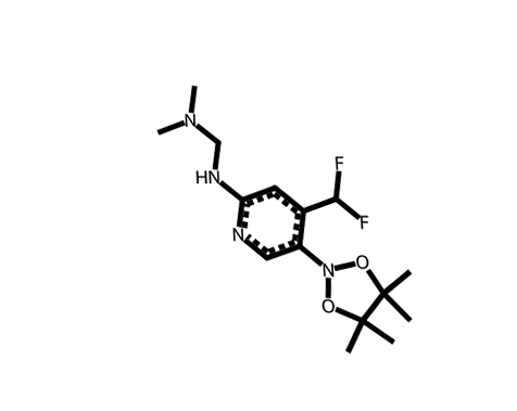 CN(C)CNc1cc(C(F)F)c(N2OC(C)(C)C(C)(C)O2)cn1